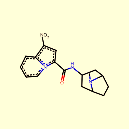 CN1C2CCC1CC(NC(=O)c1cc([N+](=O)[O-])c3ccccn13)C2